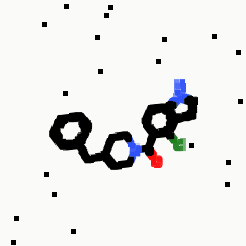 O=C(c1ccc2[nH]ccc2c1Cl)N1CCC(Cc2ccccc2)CC1